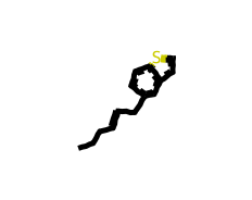 CCCC=CCc1ccc2sccc2c1